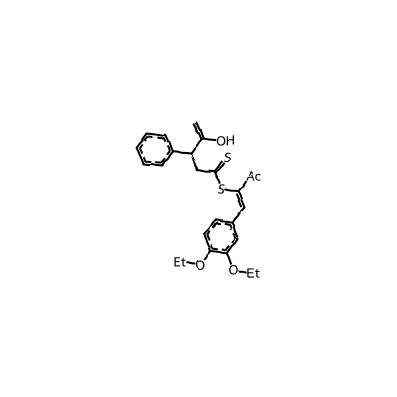 C=C(O)[C@@H](CC(=S)S/C(=C\c1ccc(OCC)c(OCC)c1)C(C)=O)c1ccccc1